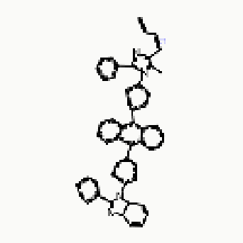 C=C/C=C\c1nc(-c2ccccc2)n(-c2ccc(-c3c4ccccc4c(-c4ccc(N5C(c6ccccc6)=NC6C=CC=CC65)cc4)c4ccccc34)cc2)c1C